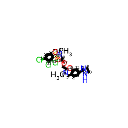 CN(Cc1ccc(C2=NCCN2)cc1)C(=O)COCCN(C)S(=O)(=O)c1ccc(Cl)c(Cl)c1Cl